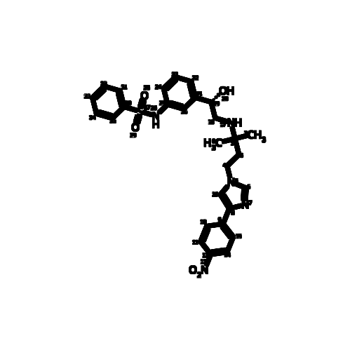 CC(C)(CCn1cnc(-c2ccc([N+](=O)[O-])cc2)c1)NC[C@@H](O)c1cccc(NS(=O)(=O)c2ccccc2)c1